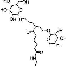 CCNC(=O)CCCCC(=O)N(CCCO[C@H]1O[C@H](CO)[C@@H](O)[C@H](O)[C@H]1O)CCO[C@@H]1O[C@@H](C)[C@@H](O)[C@@H](O)[C@@H]1O